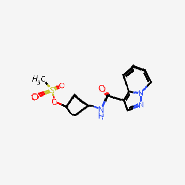 CS(=O)(=O)OC1CC(NC(=O)c2cnn3ccccc23)C1